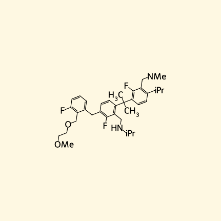 CNCc1c(C(C)C)ccc(C(C)(C)c2ccc(Cc3cccc(F)c3COCCOC)c(F)c2CNC(C)C)c1F